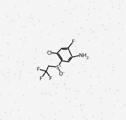 Nc1cc([S+]([O-])CC(F)(F)F)c(Cl)cc1F